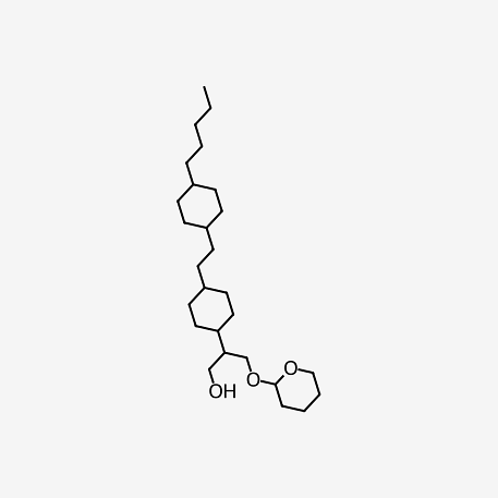 CCCCCC1CCC(CCC2CCC(C(CO)COC3CCCCO3)CC2)CC1